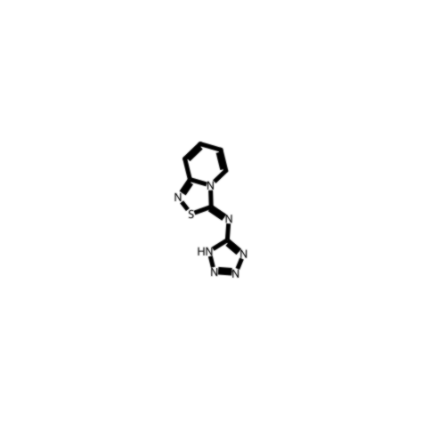 c1ccn2c(=Nc3nnn[nH]3)snc2c1